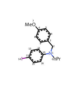 CCCN(Cc1ccc(OC)cc1)c1ccc(I)cc1